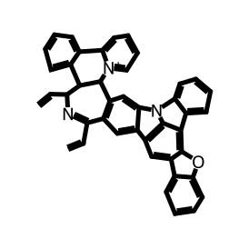 C=CC1=NC(C=C)C2c3ccccc3-c3cccc[n+]3C2c2cc3c(cc21)c1cc2c4ccccc4oc2c2c4ccccc4n3c12